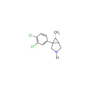 CCN1CC2[C@@H](C)C2(c2ccc(Cl)c(Cl)c2)C1